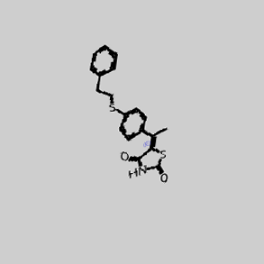 C/C(=C1\SC(=O)NC1=O)c1ccc(SCCc2ccccc2)cc1